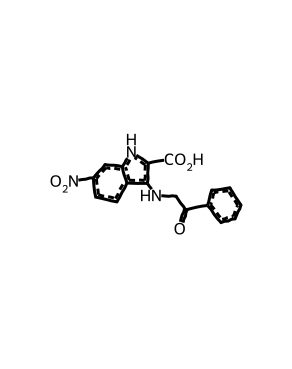 O=C(CNc1c(C(=O)O)[nH]c2cc([N+](=O)[O-])ccc12)c1ccccc1